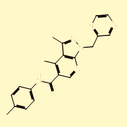 Cc1ccc(NC(=O)c2cnc3c(c(C)nn3Cc3cnccn3)c2Cl)cc1